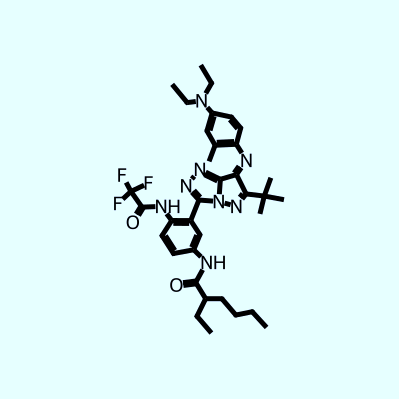 CCCCC(CC)C(=O)Nc1ccc(NC(=O)C(F)(F)F)c(-c2nnc3n2N=C(C(C)(C)C)/C3=N/c2ccc(N(CC)CC)cc2C)c1